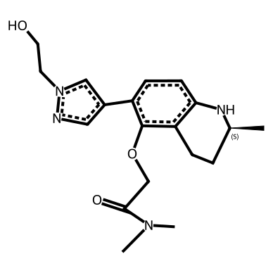 C[C@H]1CCc2c(ccc(-c3cnn(CCO)c3)c2OCC(=O)N(C)C)N1